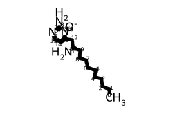 CCCCCCCCCCC(N)Cc1ccnc(N)[n+]1[O-]